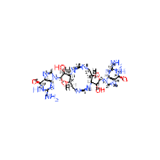 Nc1nc2c(ncn2[C@@H]2O[C@@H]3CN=C=NC4[C@@H](CN=C=N[C@@H]3C2O)O[C@@H](n2cnc3c(=O)[nH]c(N)nc32)[C@H]4O)c(=O)[nH]1